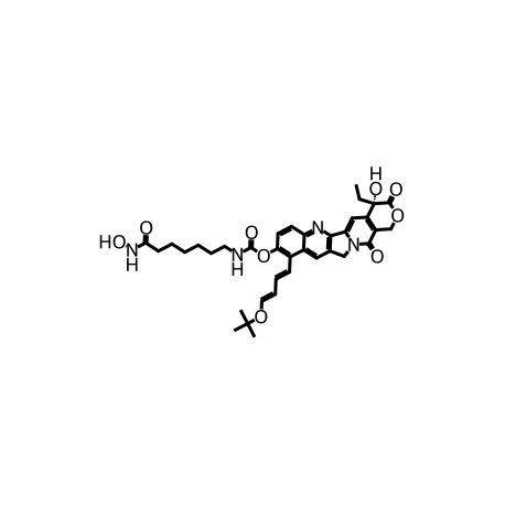 CC[C@@]1(O)C(=O)OCc2c1cc1n(c2=O)Cc2cc3c(/C=C/C=C/OC(C)(C)C)c(OC(=O)NCCCCCCC(=O)NO)ccc3nc2-1